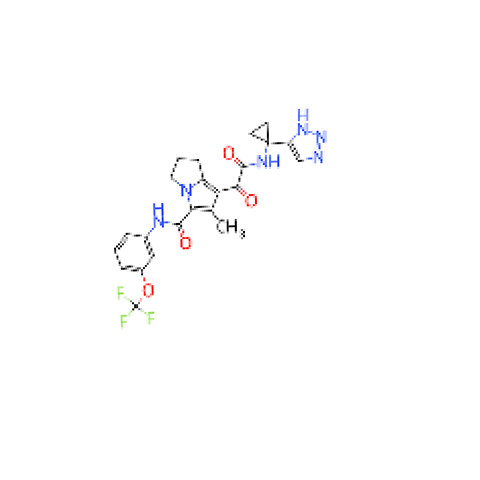 Cc1c(C(=O)C(=O)NC2(c3cnn[nH]3)CC2)c2n(c1C(=O)Nc1cccc(OC(F)(F)F)c1)CCC2